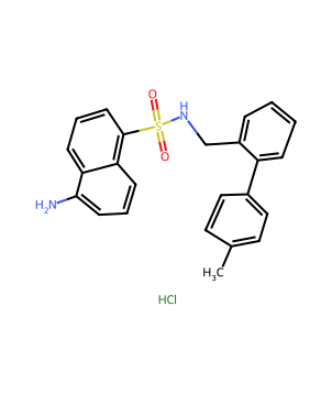 Cc1ccc(-c2ccccc2CNS(=O)(=O)c2cccc3c(N)cccc23)cc1.Cl